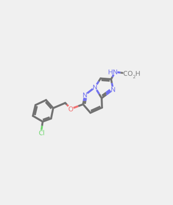 O=C(O)Nc1cn2nc(OCc3cccc(Cl)c3)ccc2n1